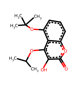 CC(C)Oc1c(O)c(=O)oc2cccc(OC(C)(C)C)c12